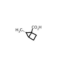 C[C@H]1C2CCC21C(=O)O